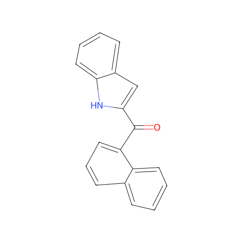 O=C(c1cc2ccccc2[nH]1)c1cccc2ccccc12